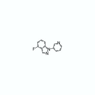 Fc1cccc2c1cnn2-c1cccnc1